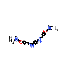 CN(C)CCCOc1ccc(CCn2cc(-c3ccc(-c4cn(CCc5ccc(OCCCN(C)C)cc5)nn4)cc3)nn2)cc1